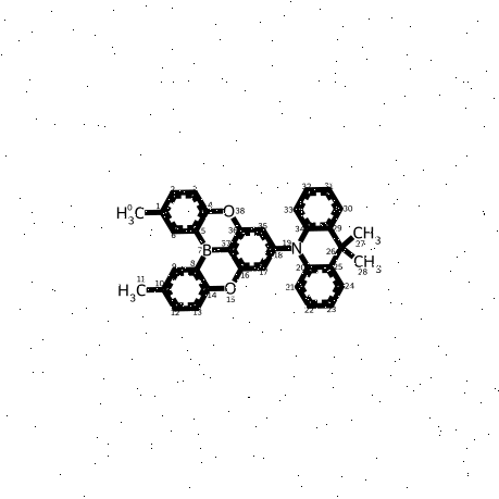 Cc1ccc2c(c1)B1c3cc(C)ccc3Oc3cc(N4c5ccccc5C(C)(C)c5ccccc54)cc(c31)O2